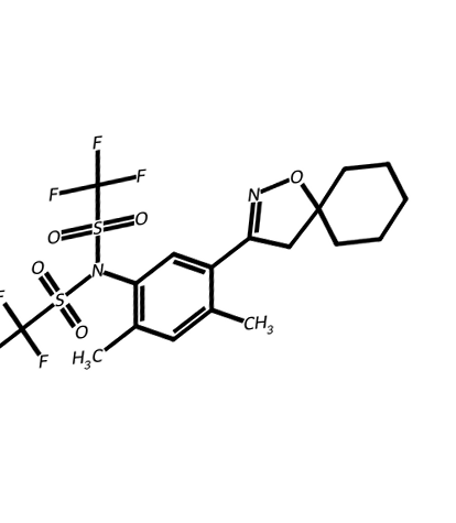 Cc1cc(C)c(N(S(=O)(=O)C(F)(F)F)S(=O)(=O)C(F)(F)F)cc1C1=NOC2(CCCCC2)C1